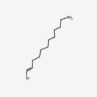 NCCCCCCCCC/C=C/S